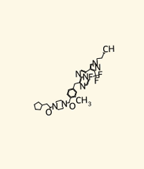 C#CCCn1cc(-c2cnc3c(Cc4ccc(C(=O)N5CCN(C(=O)CC6CCCC6)CC5)c(C)c4)nccn23)c(C(F)(F)F)n1